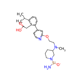 CC(C)c1cccc(-c2ccnc(OCCN(C)C3CCCN([S+](N)[O-])C3)c2)c1CC(=O)O